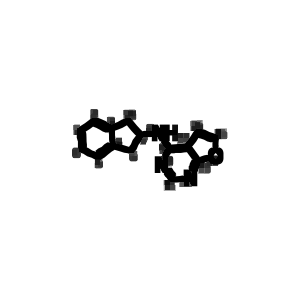 c1ccc2c(c1)CC(Nc1ncnc3occc13)C2